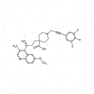 COc1ccc2ncc(C)c([C@@H](O)CCC3(C(=O)O)CCN(CC#Cc4cc(F)c(F)c(F)c4)CC3)c2c1